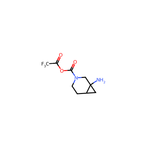 NC12CC1CCN(C(=O)OC(=O)C(F)(F)F)C2